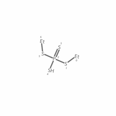 CCSP(=S)(S)SCC